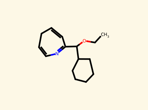 CCOC(C1=NC=CCC=C1)C1CCCCC1